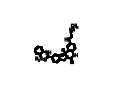 CNCCNc1ccc2c(c1)S(=O)(=O)N(Cc1ccc(C(=O)Nc3ccccc3N)cc1)C(=O)N2